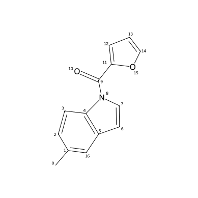 Cc1ccc2c(ccn2C(=O)c2ccco2)c1